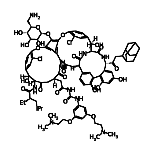 CC[C@H](CC(C)C)C(=O)N[C@H]1C(=O)C[C@@H](CC(=O)NC(=O)Nc2cc(OCCN(C)C)cc(OCCN(C)C)c2)C(=O)N[C@H]2C(=O)C[C@H]3C(=O)N[C@H](C(=O)N[C@H](C(=O)CC4C5CC6CC(C5)CC4C6)c4cc(O)cc(O)c4-c4cc3ccc4O)[C@H](O)c3ccc(c(Cl)c3)Oc3cc2cc(c3O[C@@H]2O[C@H](CN)[C@@H](O)[C@H](O)[C@H]2O)Oc2ccc(cc2Cl)[C@H]1O